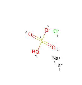 O=S(=O)([O-])O.[Cl-].[K+].[Na+]